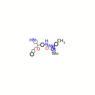 Cc1ccc(-n2nc(C(C)(C)C)cc2NC(=O)Nc2ccc(C(C(=O)CC3Cc4ccccc4C3)C3CCNCC3)cc2)cc1